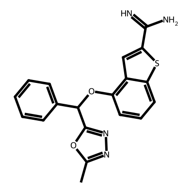 Cc1nnc(C(Oc2cccc3sc(C(=N)N)cc23)c2ccccc2)o1